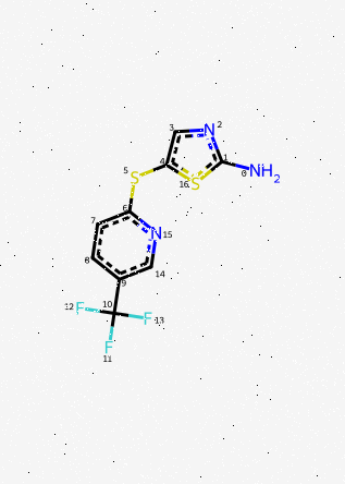 Nc1ncc(Sc2ccc(C(F)(F)F)cn2)s1